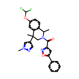 CC1c2ccc(OC(F)F)cc2C(C)(c2cnn(C)c2)CN1C(=O)c1cc(-c2ccccc2)on1